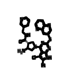 CCc1[nH]c2nc(Sc3cnc4cccnc4c3)nc(N3CC(N)[C@H](C(=O)NCc4cccnc4)C3)c2c1Cl